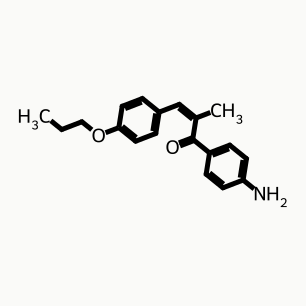 CCCOc1ccc(C=C(C)C(=O)c2ccc(N)cc2)cc1